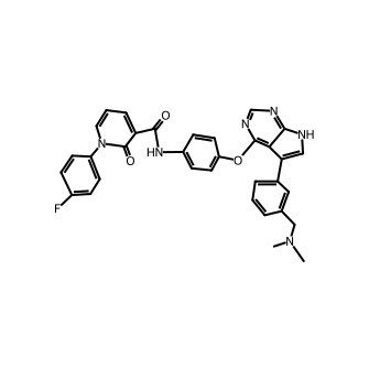 CN(C)Cc1cccc(-c2c[nH]c3ncnc(Oc4ccc(NC(=O)c5cccn(-c6ccc(F)cc6)c5=O)cc4)c23)c1